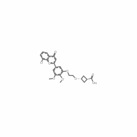 COc1cc(-c2cc(=O)c3cccc(Cl)c3o2)cc(OCCO[C@H]2C[C@H](C(=O)O)C2)c1OC